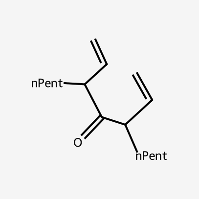 C=CC(CCCCC)C(=O)C(C=C)CCCCC